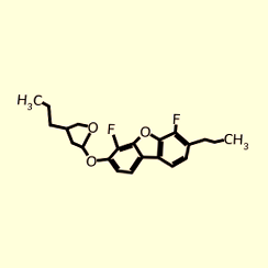 CCCc1ccc2c(oc3c(F)c(OC4CC(CCC)CO4)ccc32)c1F